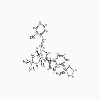 CC1(C)O[C@@H]2[C@H](O1)[C@@H](C#Cc1ccccc1Cl)O[C@H]2n1cnc2c(C3(N)CCCC3)ncnc21